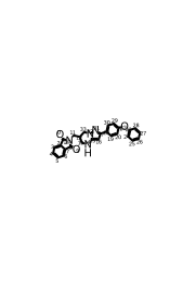 O=C1c2ccccc2C(=O)N1CC1CNc2cc(-c3ccc(Oc4ccccc4)cc3)nn2C1